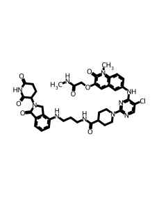 CNC(=O)COc1cc2cc(Nc3nc(N4CCC(C(=O)NCCCNc5cccc6c5CN(C5CCC(=O)NC5=O)C6=O)CC4)ncc3Cl)ccc2n(C)c1=O